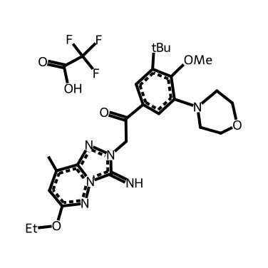 CCOc1cc(C)c2nn(CC(=O)c3cc(N4CCOCC4)c(OC)c(C(C)(C)C)c3)c(=N)n2n1.O=C(O)C(F)(F)F